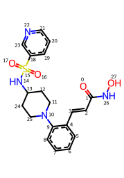 O=C(/C=C/c1ccccc1N1CCC(NS(=O)(=O)c2cccnc2)CC1)NO